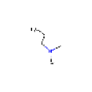 CC(=O)N(C)CCC(F)(F)F